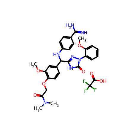 COc1cc(C(Nc2ccc(C(=N)N)cc2)c2nn(-c3ccccc3OC)c(=O)[nH]2)ccc1OCC(=O)N(C)C.O=C(O)C(F)(F)F